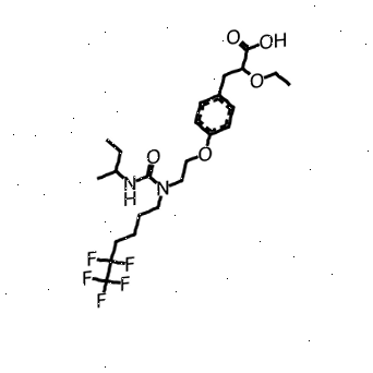 CCOC(Cc1ccc(OCCN(CCCCC(F)(F)C(F)(F)F)C(=O)NC(C)CC)cc1)C(=O)O